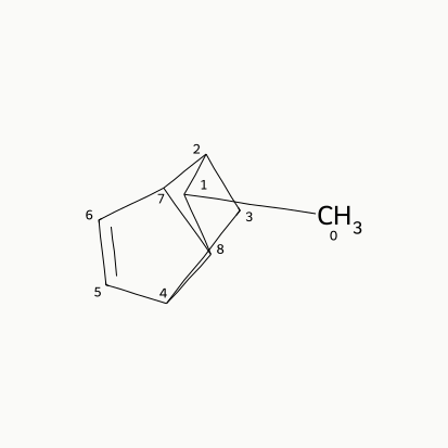 CC1C2CC3C=CC2C31